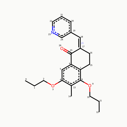 CCCOc1cc2c(c(OCCC)c1C)CC/C(=C/c1cccnc1)C2=O